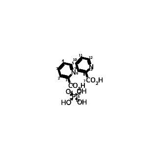 O=C(O)c1ccccn1.O=C(O)c1ccccn1.O=P(O)(O)O